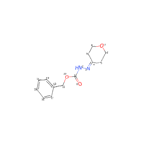 O=C(NN=C1CCOCC1)OCc1ccccc1